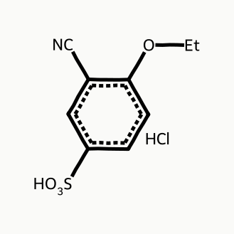 CCOc1ccc(S(=O)(=O)O)cc1C#N.Cl